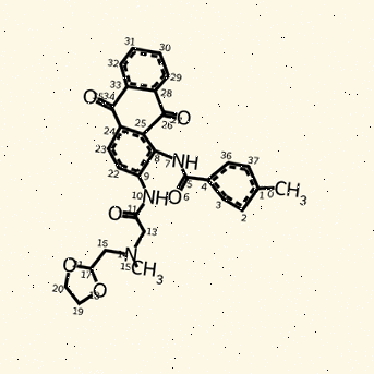 Cc1ccc(C(=O)Nc2c(NC(=O)CN(C)CC3OCCO3)ccc3c2C(=O)c2ccccc2C3=O)cc1